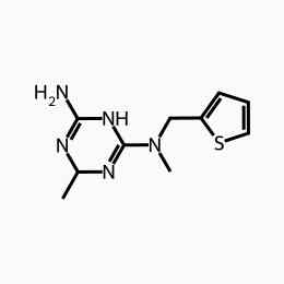 CC1N=C(N)NC(N(C)Cc2cccs2)=N1